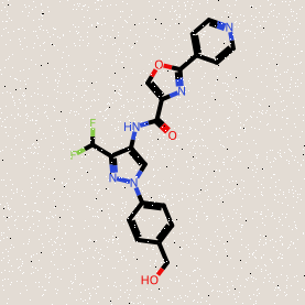 O=C(Nc1cn(-c2ccc(CO)cc2)nc1C(F)F)c1coc(-c2ccncc2)n1